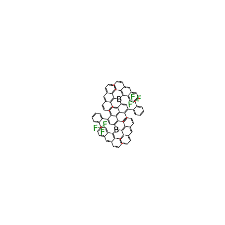 FC(F)(F)c1ccccc1-c1cc(B(c2c3ccccc3cc3ccccc23)c2c3ccccc3cc3ccccc23)c2ccc3c(-c4ccccc4C(F)(F)F)cc(B(c4c5ccccc5cc5ccccc45)c4c5ccccc5cc5ccccc45)c4ccc1c2c43